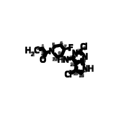 C=CC(=O)N1CC[C@@H](F)[C@@H](Nc2nc(Cl)nc3[nH]cc(Cl)c23)C1